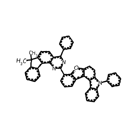 CC1(C)c2ccccc2-c2c1ccc1c(-c3ccccc3)nc(-c3cccc4c3oc3ccc5c(c6ccccc6n5-c5ccccc5)c34)nc21